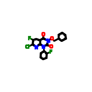 O=c1c2cc(F)c(Cl)nc2n(-c2ccccc2F)c(=O)n1OCc1ccccc1